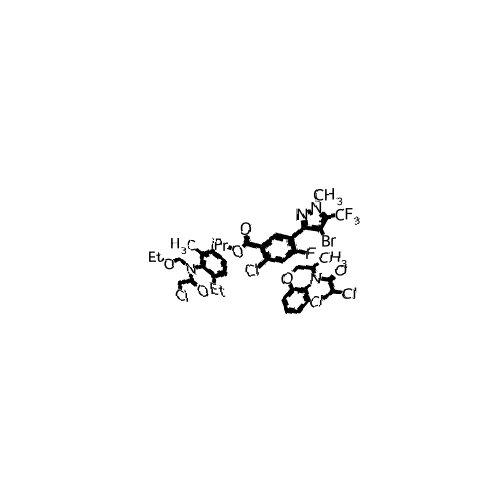 CC(C)OC(=O)c1cc(-c2nn(C)c(C(F)(F)F)c2Br)c(F)cc1Cl.CC1COc2ccccc2N1C(=O)C(Cl)Cl.CCOCN(C(=O)CCl)c1c(C)cccc1CC